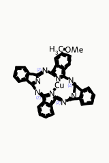 COC.c1ccc2c(c1)C1=NC/2=N\c2c3ccccc3c3[n]2[Cu][n]2/c(c4ccccc4/c2=N/C2=N\C(=N/3)c3ccccc32)=N\1